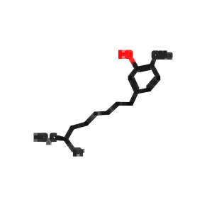 COc1ccc(CCCCCC[C@H](C(=O)O)C(C)C)cc1O